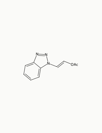 CC(=O)OC=Cn1nnc2ccccc21